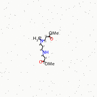 COC(=O)CCNCCCN(C)CCC(=O)OC